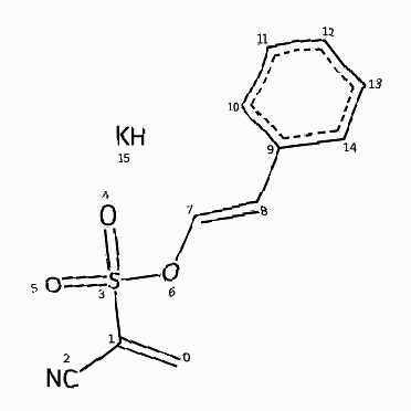 C=C(C#N)S(=O)(=O)OC=Cc1ccccc1.[KH]